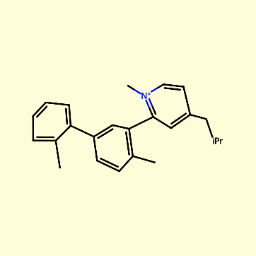 Cc1ccccc1-c1ccc(C)c(-c2cc(CC(C)C)cc[n+]2C)c1